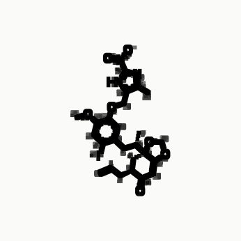 C=CC[C@H]1C[C@]2([C@@H](C)Cc3cc(OCc4[nH]c([N+](=O)[O-])nc4C)c(OC)cc3F)OCOC2=CC1=O